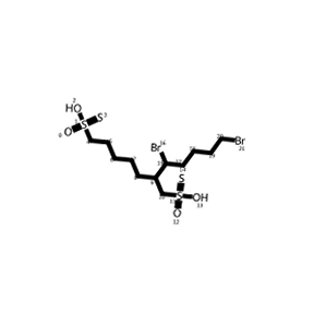 O=S(O)(=S)CCCCCC(CS(=O)(O)=S)C(Br)CCCCBr